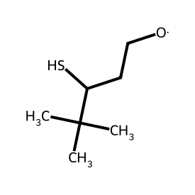 CC(C)(C)C(S)CC[O]